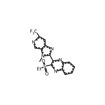 CCS(=O)(=O)c1nc2ccccc2nc1-c1nc2cc(C(F)(F)F)ncc2n1C